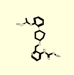 C[C@@H](Oc1ccccc1[C@H]1CC[C@@H](OCc2ncccc2NC(=O)OC(C)(C)C)CC1)C(=O)O